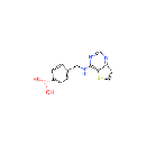 OB(O)c1ccc(CNc2ncnc3ccsc23)cc1